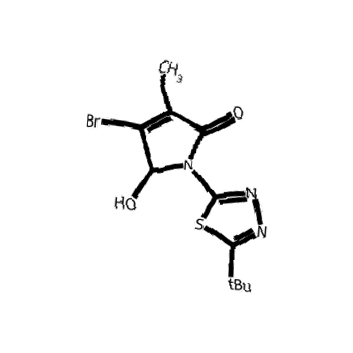 CC1=C(Br)C(O)N(c2nnc(C(C)(C)C)s2)C1=O